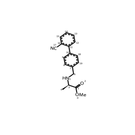 COC(=O)[C@@H](C)NCc1ccc(-c2ccccc2C#N)cc1